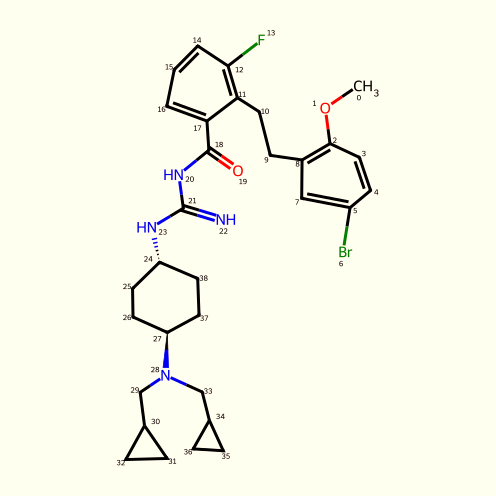 COc1ccc(Br)cc1CCc1c(F)cccc1C(=O)NC(=N)N[C@H]1CC[C@H](N(CC2CC2)CC2CC2)CC1